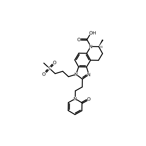 C[C@H]1CCc2c(ccc3c2nc(CCn2ccccc2=O)n3CCCS(C)(=O)=O)N1C(=O)O